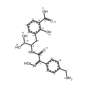 NCc1ccc(C(=NO)C(=O)NC(Cc2cccc(C(=O)O)c2O)B(O)O)cc1